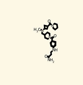 CN(CC1CCN(C(=O)c2ccc(NCCC(N)=O)cc2)CC1)C1CC(C(=O)N2CCCCC2)C1